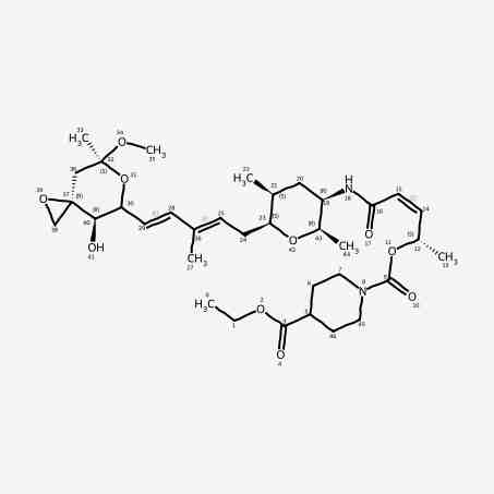 CCOC(=O)C1CCN(C(=O)O[C@@H](C)/C=C\C(=O)N[C@@H]2C[C@H](C)[C@H](C/C=C(C)/C=C/C3O[C@](C)(OC)C[C@@]4(CO4)[C@@H]3O)O[C@@H]2C)CC1